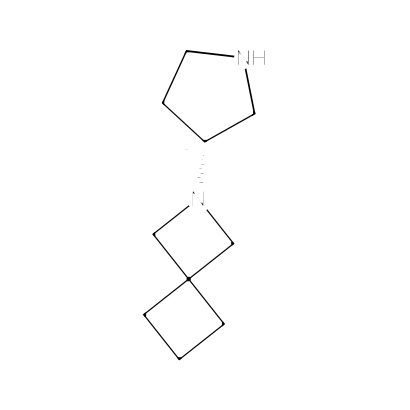 C1CC2(C1)CN([C@@H]1CCNC1)C2